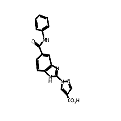 O=C(O)c1cnn(-c2nc3cc(C(=O)Nc4ccccc4)ccc3[nH]2)c1